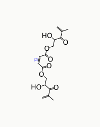 C=C(C)C(=O)C(O)COC(=O)/C=C\C(=O)OCC(O)C(=O)C(=C)C